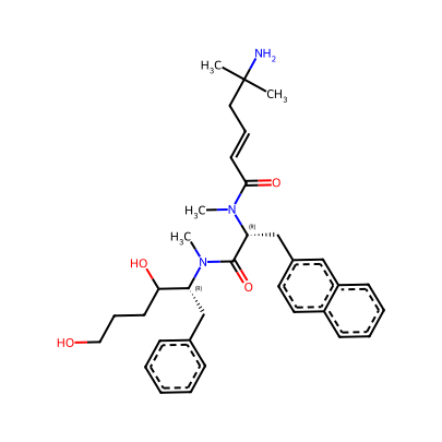 CN(C(=O)C=CCC(C)(C)N)[C@H](Cc1ccc2ccccc2c1)C(=O)N(C)[C@H](Cc1ccccc1)C(O)CCCO